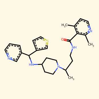 Cc1ccnc(C)c1C(=O)NCCC(C)N1CCC(NC(c2cccnc2)c2ccsc2)CC1